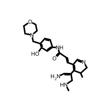 CNC/C(=C\N)C1=C(/C=C/C(=O)Nc2ccc(CN3CCOCC3)c(O)c2)C=NCC1C